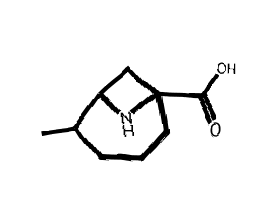 CC1CCCC2(C(=O)O)CC1N2